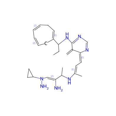 C=c1c(NC(CC)/C2=C/C/C=C\C=C/C2)ncn/c1=C/C=C(\C)NC(C)/C(N)=C/N(N)C1CC1